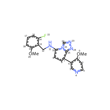 COc1ccncc1-c1ccc(NCc2c(F)cccc2OC)n2cnnc12